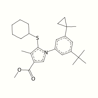 COC(=O)c1cn(-c2cc(C(C)(C)C)cc(C3(C)CC3)c2)c(SC2CCCCC2)c1C